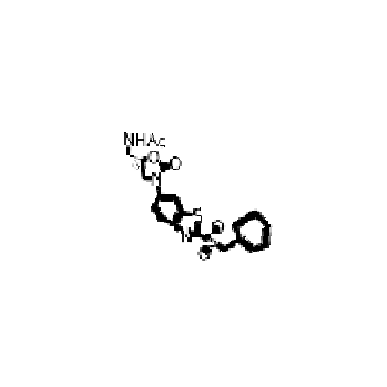 CC(=O)NC[C@H]1CN(c2ccc3nc(S(=O)(=O)Cc4ccccc4)sc3c2)C(=O)O1